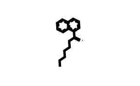 [CH]=C(CCCCCC)c1cccc2ccccc12